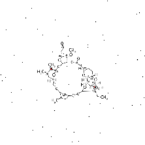 C=C1CC2CCC3O[C@@H]4[C@@H]5OC(CC)[C@H](O3)[C@@H]5O[C@H]3CC[C@H](CC(=O)CC5C(C[C@H]6O[C@@H](CCC1O2)C[C@@H](C)C6=C)O[C@H](CC=O)[C@@H]5OC)O[C@H]43